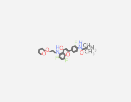 CC(C)(C)C(=O)Nc1ccc(-c2cc(=O)c3c(NCCCOC4CCCCO4)c(F)cc(F)c3o2)cc1F